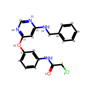 O=C(CCl)Nc1cccc(Oc2cc(NCc3ccccc3)ncn2)c1